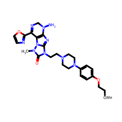 COCCOc1ccc(N2CCN(CCn3c(=O)n(C)n4c5c(nc34)N(N)CN=C5c3ncco3)CC2)cc1